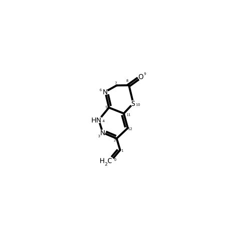 C=CC1=NNC2=NCC(=O)SC2=C1